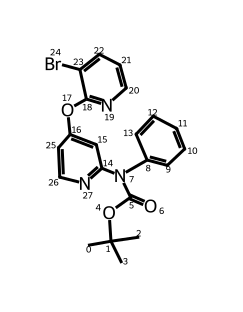 CC(C)(C)OC(=O)N(c1ccccc1)c1cc(Oc2ncccc2Br)ccn1